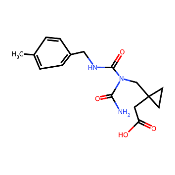 Cc1ccc(CNC(=O)N(CC2(CC(=O)O)CC2)C(N)=O)cc1